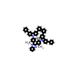 Cc1cc(-n2c3c(c4cc(-c5ccccc5)ccc42)C=C(c2ccccc2)CC3)c(C)cc1-c1nc2ccccc2nc1-c1cc(C)c(-n2c3ccc(-c4ccccc4)cc3c3cc(-c4ccccc4)ccc32)cc1C